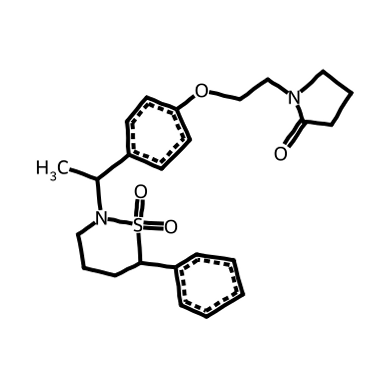 CC(c1ccc(OCCN2CCCC2=O)cc1)N1CCCC(c2ccccc2)S1(=O)=O